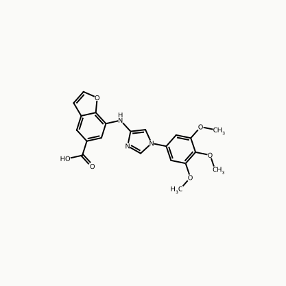 COc1cc(-n2cnc(Nc3cc(C(=O)O)cc4ccoc34)c2)cc(OC)c1OC